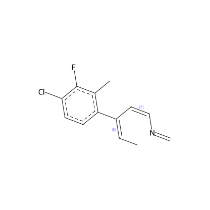 C=N/C=C\C(=C/C)c1ccc(Cl)c(F)c1C